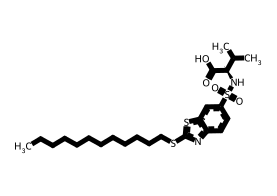 CCCCCCCCCCCCSc1nc2ccc(S(=O)(=O)N[C@@H](C(=O)O)C(C)C)cc2s1